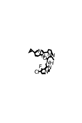 Cc1nc2n(c1C(=O)NCc1ncn3ccc(Cl)c(F)c13)C(c1cn3cc(C4CC4)ccc3n1)CC2